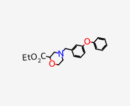 CCOC(=O)C1CN(Cc2cccc(Oc3ccccc3)c2)CCO1